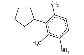 Cc1ccc(N)c(C)c1C1CCCC1